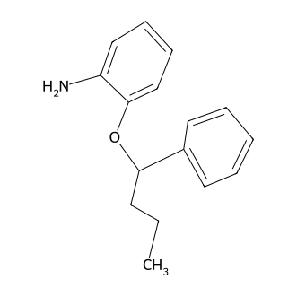 CCCC(Oc1ccccc1N)c1ccccc1